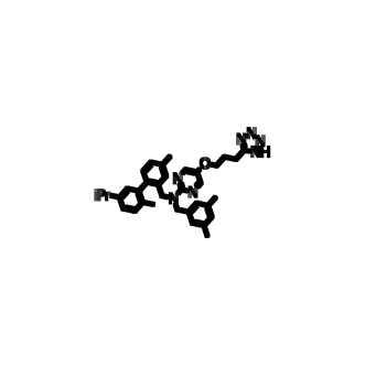 Cc1cc(C)cc(CN(Cc2cc(C)ccc2-c2cc(C(C)C)ccc2C)c2ncc(OCCCc3nnn[nH]3)cn2)c1